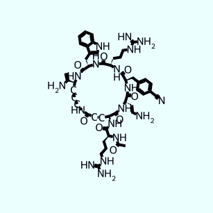 C=C(N)[C@@H]1CCCNC(=O)CC[C@H](NC(=O)[C@H](CCCNC(=N)N)NC(C)=O)C(=O)N[C@@H](CCN)C(=O)N[C@H](Cc2ccc(C#N)cc2)C(=O)N[C@@H](CCCNC(=N)N)C(=O)N[C@@H](Cc2c[nH]c3ccccc23)C(=O)N1